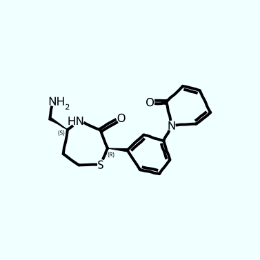 NC[C@@H]1CCS[C@H](c2cccc(-n3ccccc3=O)c2)C(=O)N1